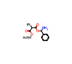 CC(=O)NOC(=O)C(C(=O)OC(N)c1ccccc1)C(C)C